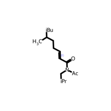 CCC(C)C(C)CC/C=C/C(=O)N(CC(C)C)C(C)=O